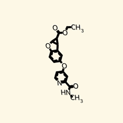 CCOC(=O)C1C2Oc3ccc(Oc4ccnc(C(=O)NC)c4)cc3C21